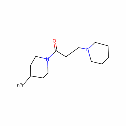 CCCC1CCN(C(=O)CCN2CCCCC2)CC1